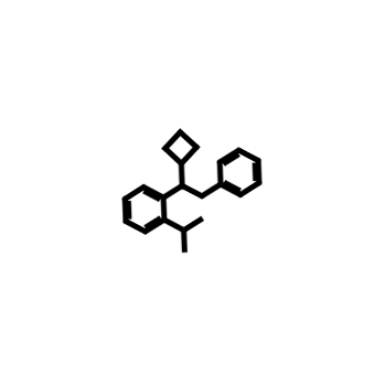 CC(C)c1ccccc1[C](Cc1ccccc1)C1CCC1